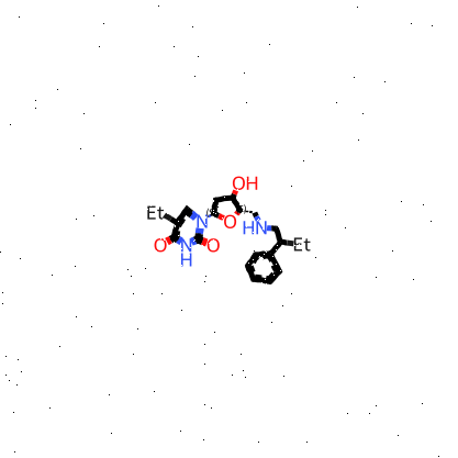 CCc1cn([C@@H]2CC(O)[C@H](CNCC(CC)c3ccccc3)O2)c(=O)[nH]c1=O